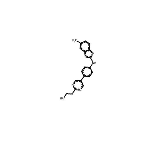 CC(C)(C)COc1ncc(-c2ccc(Nc3nc4ccc(C(F)(F)F)cc4s3)cc2)cn1